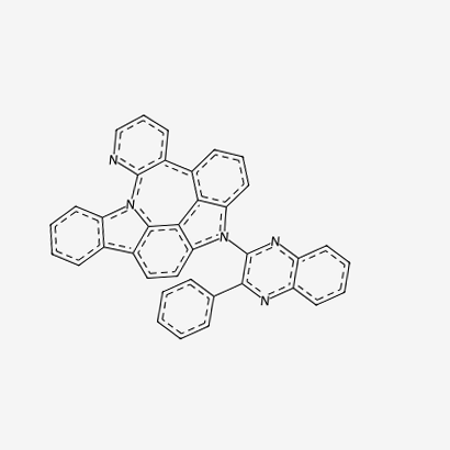 c1ccc(-c2nc3ccccc3nc2-n2c3cccc4c5cccnc5n5c6ccccc6c6ccc2c(c43)c65)cc1